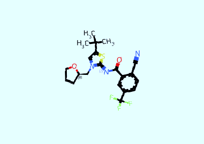 CC(C)(C)c1cn(C[C@H]2CCCO2)/c(=N/C(=O)c2cc(C(F)(F)F)ccc2C#N)s1